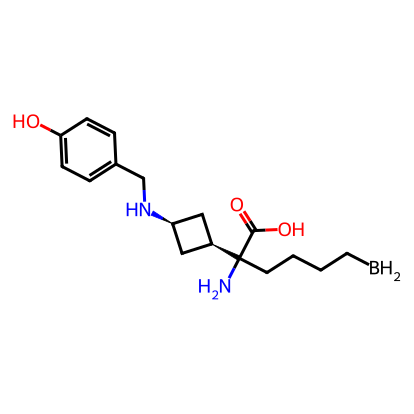 BCCCCC(N)(C(=O)O)[C@H]1C[C@@H](NCc2ccc(O)cc2)C1